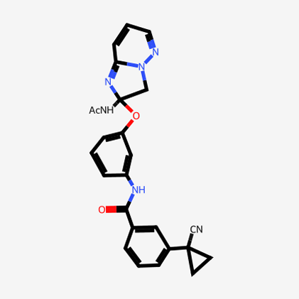 CC(=O)NC1(Oc2cccc(NC(=O)c3cccc(C4(C#N)CC4)c3)c2)CN2N=CC=CC2=N1